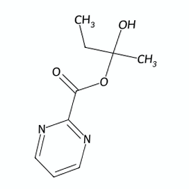 CCC(C)(O)OC(=O)c1ncccn1